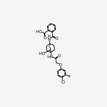 O=C(COc1ccc(Cl)c(F)c1)NC12CCC(NC(=O)c3ccccc3C(=O)O)(CC1)CC2O